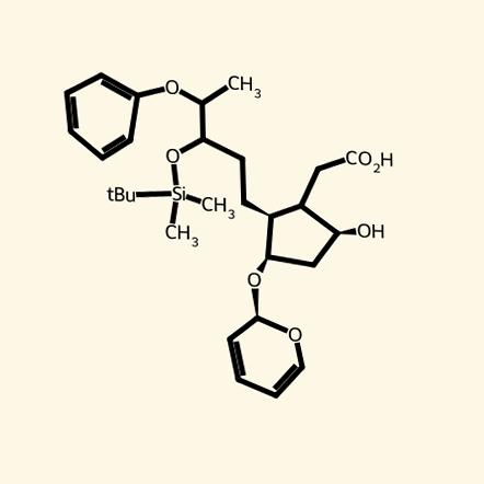 CC(Oc1ccccc1)C(CC[C@H]1C(CC(=O)O)[C@@H](O)C[C@H]1O[C@@H]1C=CC=CO1)O[Si](C)(C)C(C)(C)C